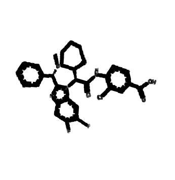 CO[C@@H](c1ccccc1)c1nc2cc(F)c(F)cc2n1[C@H](C(=O)Nc1ccc(C(=O)O)cc1Cl)C1CCCCC1